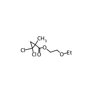 CCOCCOC(=O)C1(C)CC1(Cl)Cl